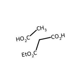 CC(=O)O.CCOC(=O)CC(=O)O